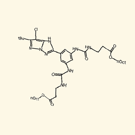 CCCCCCCCOC(=O)CCNC(=O)Nc1cc(NC(=O)NCCC(=O)OCCCCCCCC)cc(-c2nn3nc(C(C)(C)C)c(Cl)c3[nH]2)c1